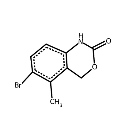 Cc1c(Br)ccc2c1COC(=O)N2